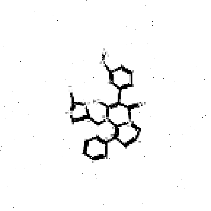 O=c1c(-c2cccc(OC(F)(F)F)c2)c(O)n(Cc2cnc(Cl)s2)c2c(-c3ccccc3)ccc[n+]12